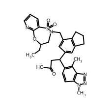 CC[C@@H]1CN(Cc2cc(C(CC(=O)O)c3ccc4c(nnn4C)c3C)cc3c2CCC3)S(=O)(=O)c2cccnc2O1